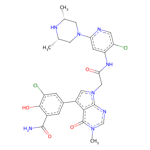 C[C@@H]1CN(c2cc(NC(=O)Cn3cc(-c4cc(Cl)c(O)c(C(N)=O)c4)c4c(=O)n(C)cnc43)c(Cl)cn2)C[C@H](C)N1